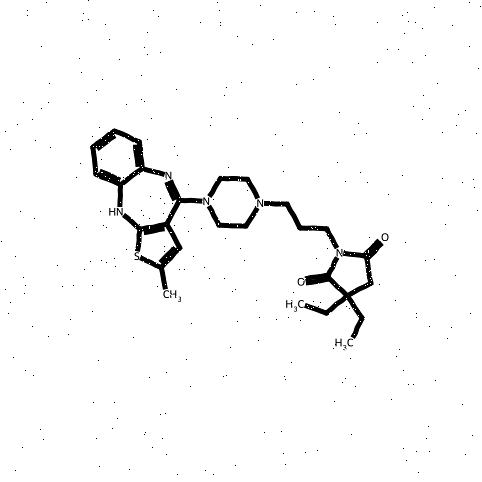 CCC1(CC)CC(=O)N(CCCN2CCN(C3=Nc4ccccc4Nc4sc(C)cc43)CC2)C1=O